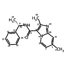 Cc1ccn2c(C(=O)N[C@@H](C)c3ccccc3)c(C)nc2c1